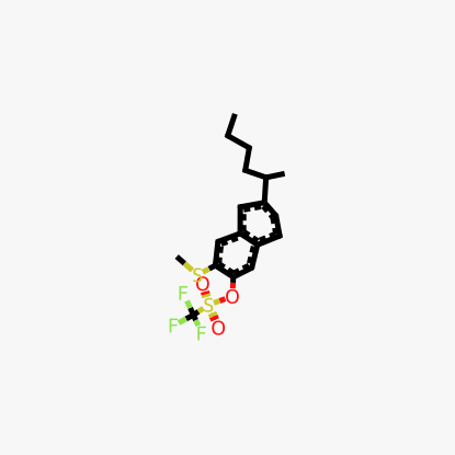 CCCCC(C)c1ccc2cc(OS(=O)(=O)C(F)(F)F)c(SC)cc2c1